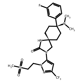 CN(C)[C@]1(c2cccc(F)c2)CC[C@@]2(CC1)CN(c1cc(C(F)(F)F)nn1CCS(C)(=O)=O)C(=O)N2